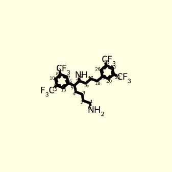 NCCCCC(c1cc(C(F)(F)F)cc(C(F)(F)F)c1)C(N)CCCc1cc(C(F)(F)F)cc(C(F)(F)F)c1